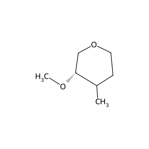 CO[C@@H]1COCCC1C